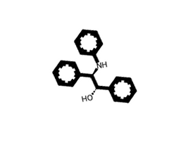 O[C@@H](c1ccccc1)[C@H](Nc1ccccc1)c1ccccc1